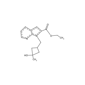 CCOC(=O)c1cc2cccnc2n1CC1CC(C)(O)C1